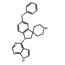 c1ccc(Oc2ccc3c(c2)C2(CCNCC2)CN3c2ncnc3[nH]ccc23)cc1